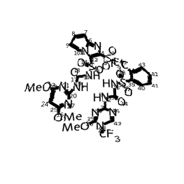 CCS(=O)(=O)c1nc2ccccn2c1S(=O)(=O)NC(=O)Nc1nc(OC)cc(OC)n1.COC1=NC(NC(=O)NS(=O)(=O)c2ccccc2C(F)(F)F)N=CN1C(F)(F)F